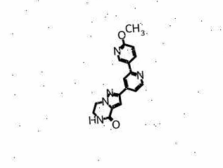 COc1ccc(-c2cc(-c3cc4n(n3)CCNC4=O)ccn2)cn1